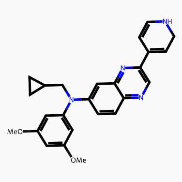 COc1cc(OC)cc(N(CC2CC2)c2ccc3ncc(C4=CCNC=C4)nc3c2)c1